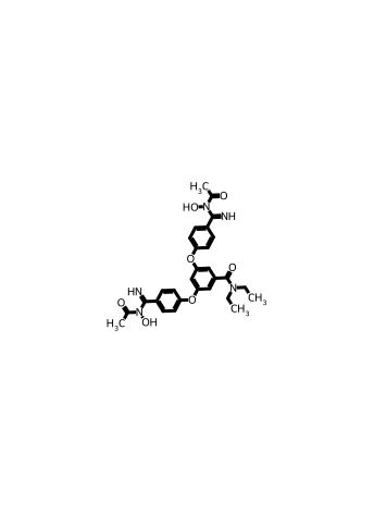 CCN(CC)C(=O)c1cc(Oc2ccc(C(=N)N(O)C(C)=O)cc2)cc(Oc2ccc(C(=N)N(O)C(C)=O)cc2)c1